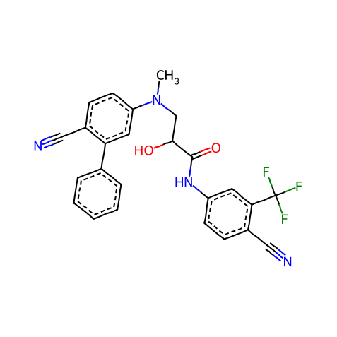 CN(CC(O)C(=O)Nc1ccc(C#N)c(C(F)(F)F)c1)c1ccc(C#N)c(-c2ccccc2)c1